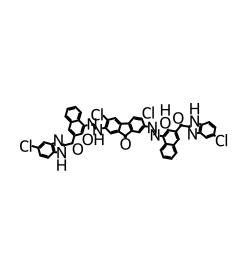 O=C1c2cc(N=Nc3c(O)c(C(=O)c4nc5cc(Cl)ccc5[nH]4)cc4ccccc34)c(Cl)cc2-c2cc(Cl)c(N=Nc3c(O)c(C(=O)c4nc5cc(Cl)ccc5[nH]4)cc4ccccc34)cc21